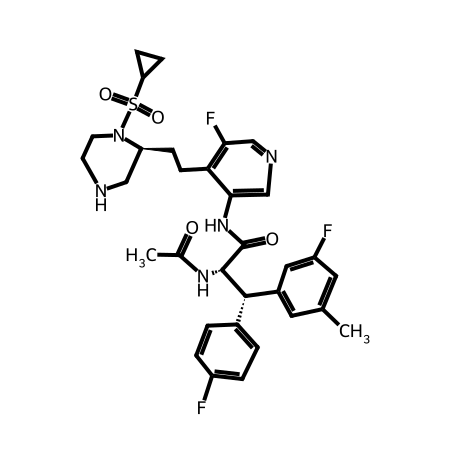 CC(=O)N[C@H](C(=O)Nc1cncc(F)c1CC[C@H]1CNCCN1S(=O)(=O)C1CC1)[C@@H](c1ccc(F)cc1)c1cc(C)cc(F)c1